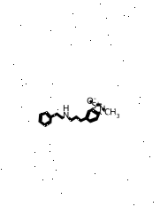 CN1C[S+]([O-])c2cc(CCCNCCc3ccccc3)ccc21